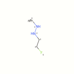 CCCNNCCF